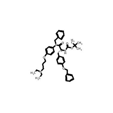 CCN(CC)CCCOc1ccc(N(Cc2ccccc2)C(=O)[C@@H](Cc2ccc(OCc3ccccc3)cc2)NC(=O)OC(C)(C)C)cc1